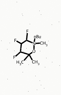 CCCC[Si]1(C)OC(C)(C)C(F)C(F)C1F